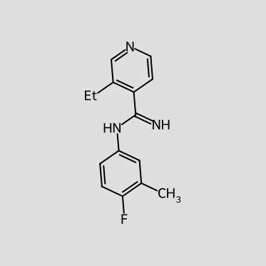 CCc1cnccc1C(=N)Nc1ccc(F)c(C)c1